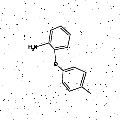 Cc1ccc(Oc2ccccc2N)cc1